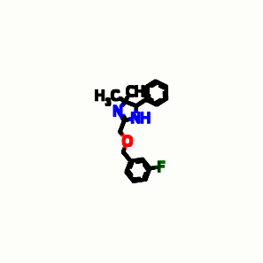 CC1(C)N=C(COCc2cccc(F)c2)NC1c1ccccc1